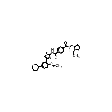 CCOc1ccc(C2CCCCC2)cc1-c1csc(NC(=O)c2ccc(C(=O)NC[C@@H]3CCCN3CC)cc2)n1